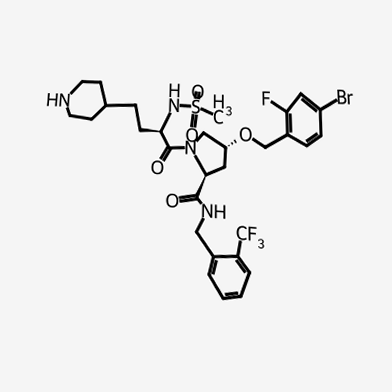 CS(=O)(=O)N[C@H](CCC1CCNCC1)C(=O)N1C[C@H](OCc2ccc(Br)cc2F)C[C@H]1C(=O)NCc1ccccc1C(F)(F)F